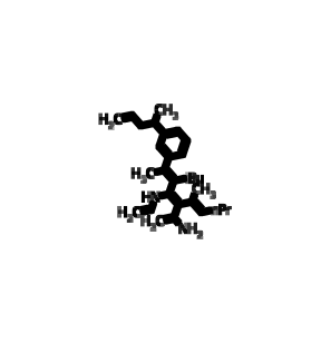 C=CCC(C)c1cccc(/C(C)=C(/C(NC=C)=C(C(=C)N)\C(C)=C\CCC)C(C)CC)c1